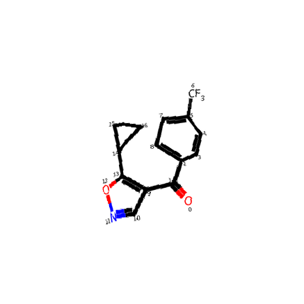 O=C(c1ccc(C(F)(F)F)cc1)c1cnoc1C1CC1